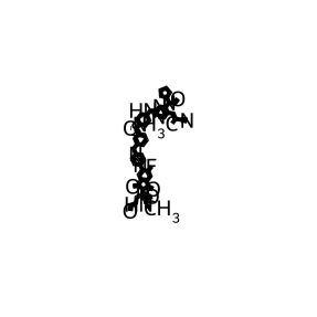 CNC(=O)C(CCC=O)N1C(=O)c2cc(F)c(N3CCN(Cc4cccc([S+]([O-])N5CCC(Nc6ncc(/C=C(\C)C#N)c(N(C=O)C7CCCC7)n6)CC5)c4)CC3)cc2C1=O